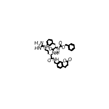 N=C(N)NCCC[C@H](NC(=O)[C@H](Cc1ccccc1)NC(=O)OCc1ccccc1)C(=O)NCc1ccc2ccc(=O)oc2c1